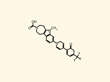 Cn1c2c(c3ccc(N4C=CC(C5=CC=C(C(F)(F)F)CC5=O)=CC4)cc31)CCN(C(=O)O)CC2